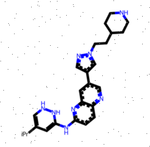 CC(C)C1=CNNC(Nc2ccc3ncc(-c4cnn(CCC5CCNCC5)c4)cc3n2)=C1